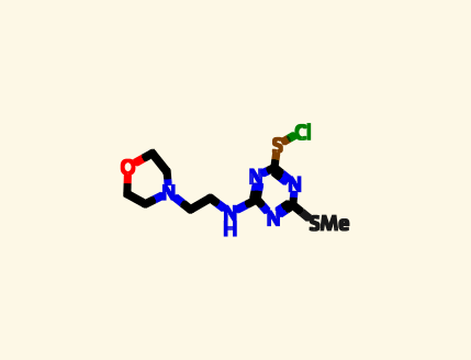 CSc1nc(NCCN2CCOCC2)nc(SCl)n1